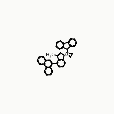 CC1=C[CH]([Zr]2([CH]3c4ccccc4-c4ccccc43)[CH2][CH2]2)c2cccc(-c3cc4ccccc4c4ccccc34)c21